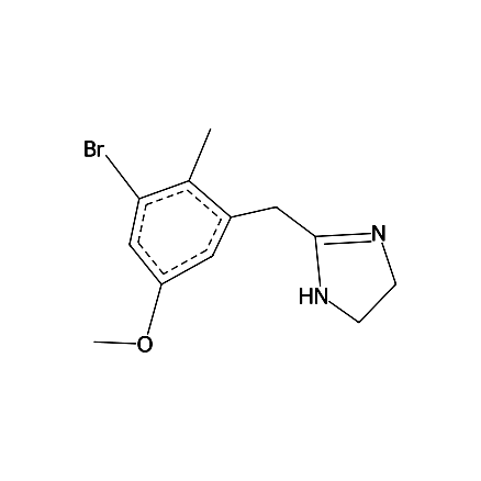 COc1cc(Br)c(C)c(CC2=NCCN2)c1